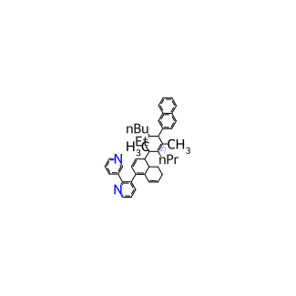 CCCCC(CC)C(/C(C)=C(/CCC)C(C)C1C=CC(c2cccnc2-c2cccnc2)=C2C=CCCC21)c1ccc2ccccc2c1